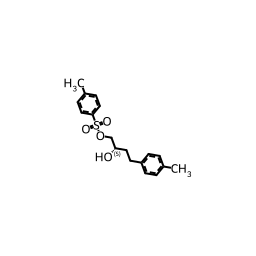 Cc1ccc(CC[C@H](O)COS(=O)(=O)c2ccc(C)cc2)cc1